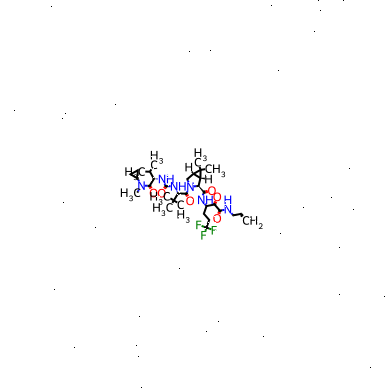 C=CCNC(=O)C(=O)C(CCC(F)(F)F)NC(=O)[C@@H]1[C@@H]2[C@H](CN1C(=O)[C@@H](NC(=O)N[C@H](C(=O)N(C)C1CC1)C(C)C)C(C)(C)C)C2(C)C